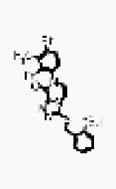 CCc1ccc(-n2ccn3c(SCc4ccccc4C(C)(C)C)nnc3c2=O)c(CC)c1C(F)(F)F